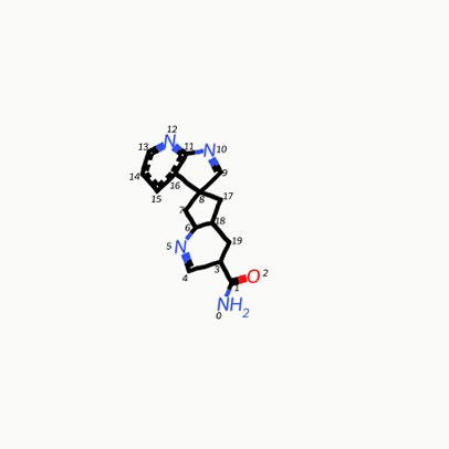 NC(=O)C1C=NC2CC3(C=Nc4ncccc43)CC2C1